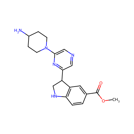 COC(=O)c1ccc2c(c1)C(c1cncc(N3CCC(N)CC3)n1)CN2